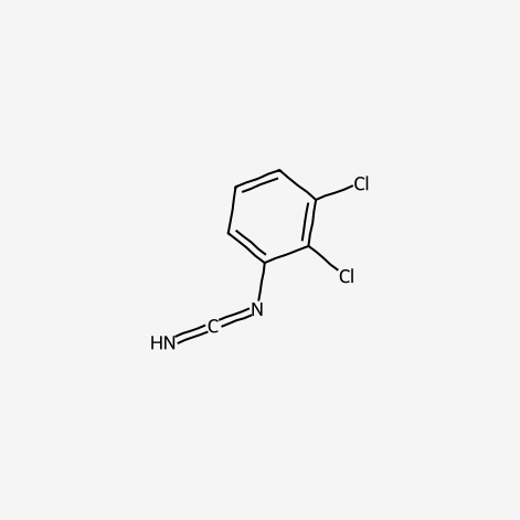 N=C=Nc1cccc(Cl)c1Cl